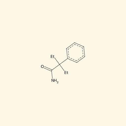 CCC(CC)(C(N)=O)c1ccccc1